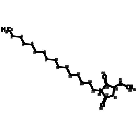 CCCCCCCCCCCCCCCCN1C(=O)CC(SC)C1=O